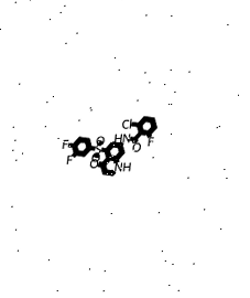 O=C(Nc1cc(S(=O)(=O)c2ccc(F)c(F)c2)c2c(=O)cc[nH]c2c1)c1c(F)cccc1Cl